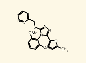 COc1cccc(OC)c1-n1c(SCc2cccnn2)nnc1-c1ccc(C)o1